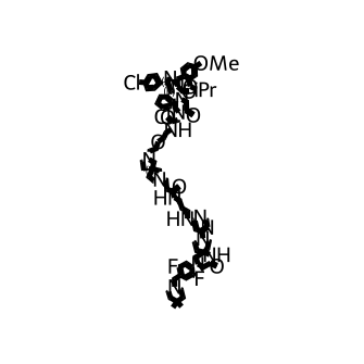 COc1ccc(C2=N[C@@H](c3ccc(Cl)cc3)[C@@H](C3=CC=C(Cl)CC3)N2C(=O)N2CCN(CC(=O)NCCOCCN3CC[C@@]4(CCN(CCC(=O)NCCCNc5cc(N6CCC7(CC6)CN(c6cc(F)c(CN8CCC(C)(C)CC8)cc6F)CC(=O)N7)ncn5)C4)C3)C(=O)C2)c(OC(C)C)c1